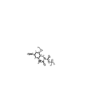 COc1cc(C#N)cc(OC)c1CN(C(=O)O)C(=O)OC(C)(C)C